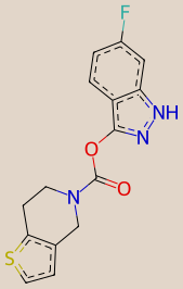 O=C(Oc1n[nH]c2cc(F)ccc12)N1CCc2sccc2C1